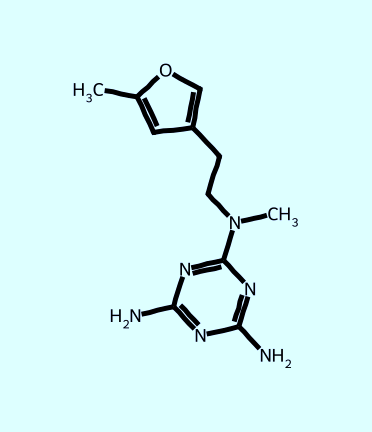 Cc1cc(CCN(C)c2nc(N)nc(N)n2)co1